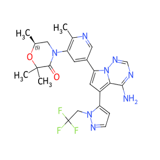 Cc1ncc(-c2cc(-c3ccnn3CC(F)(F)F)c3c(N)ncnn23)cc1N1C[C@H](C)OC(C)(C)C1=O